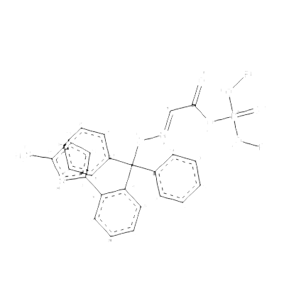 CCOP(=S)(OCC)OC(=O)C=NOC(c1ccccc1)(c1ccccc1)c1ccccc1-c1csc(N)n1